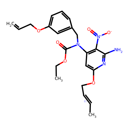 C=CCOc1cccc(CN(C(=O)OCC)c2cc(OC/C=C/C)nc(N)c2[N+](=O)[O-])c1